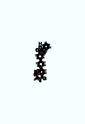 CC(c1ccon1)N(C)C(=O)c1ccc(N2CCC(C3CCN(C(=O)C(O)(c4ccccc4)C(F)(F)F)CC3)CC2)cc1Cl